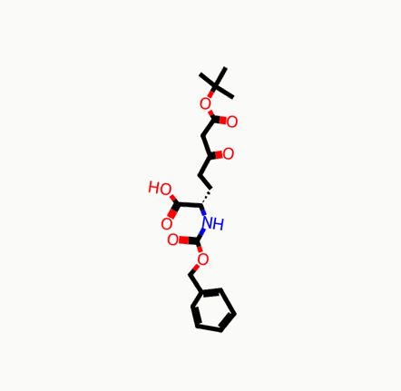 CC(C)(C)OC(=O)CC(=O)CC[C@H](NC(=O)OCc1ccccc1)C(=O)O